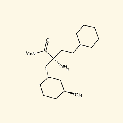 CNC(=O)[C@@](N)(CCC1CCCCC1)C[C@H]1CCC[C@H](O)C1